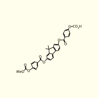 COC(=O)Oc1ccc(C(=O)Oc2ccc3c(c2)C(C)(C)c2cc(OC(=O)c4ccc(OC(=O)O)cc4)ccc2-3)cc1